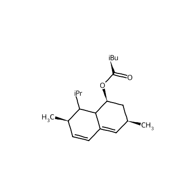 CC[C@H](C)C(=O)O[C@H]1C[C@@H](C)C=C2C=C[C@@H](C)C(C(C)C)C21